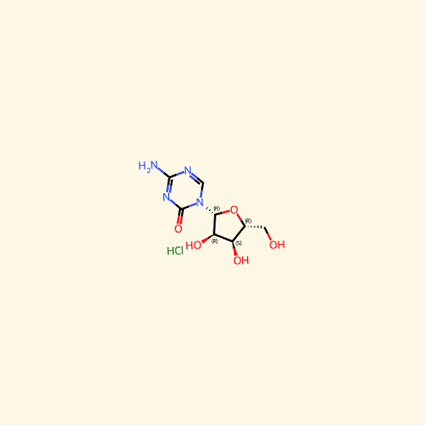 Cl.Nc1ncn([C@@H]2O[C@H](CO)[C@@H](O)[C@H]2O)c(=O)n1